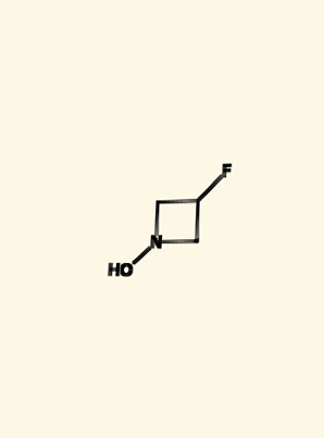 ON1CC(F)C1